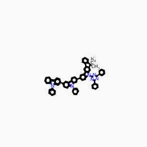 CC1(C)c2ccccc2-c2cc3c4cc(-c5ccc6c7cc(-c8ccc9c%10ccccc%10n(-c%10ccccc%10)c9c8)ccc7n(-c7ccccc7)c6c5)ccc4n(-c4nc(-c5ccccc5)nc(-c5ccccc5)n4)c3cc21